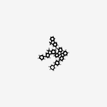 CC1(C)c2ccccc2-c2ccc(N(c3ccc4c(c3)C(C)(C)c3cc(-c5ccccc5)ccc3-4)c3cccc4c3-c3ccccc3C43c4ccccc4-c4ccc(-c5ccc(C6CCCCC6)cc5)cc43)cc21